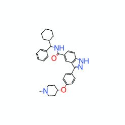 CN1CCC(Oc2ccc(-c3n[nH]c4ccc(C(=O)NC(c5ccccc5)C5CCCCC5)cc34)cc2)CC1